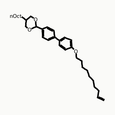 C=CCCCCCCCCOc1ccc(-c2ccc(C3OCC(CCCCCCCC)CO3)cc2)cc1